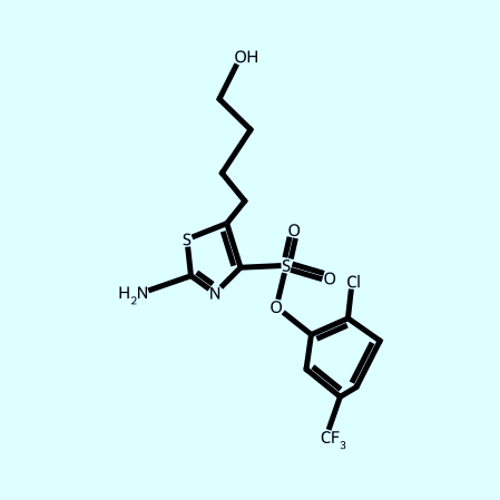 Nc1nc(S(=O)(=O)Oc2cc(C(F)(F)F)ccc2Cl)c(CCCCO)s1